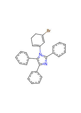 BrC1=CC(n2c(-c3ccccc3)nc(-c3ccccc3)c2-c2ccccc2)=CCC1